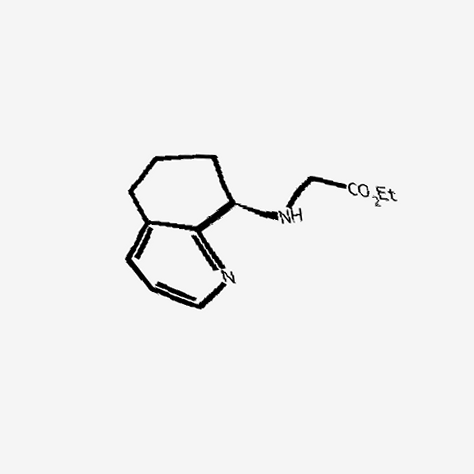 CCOC(=O)CN[C@@H]1CCCc2cccnc21